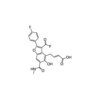 CNC(=O)c1cc2oc(-c3ccc(F)cc3)c(C(=O)F)c2c(CC=CC(=O)O)c1O